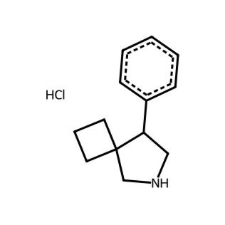 Cl.c1ccc(C2CNCC23CCC3)cc1